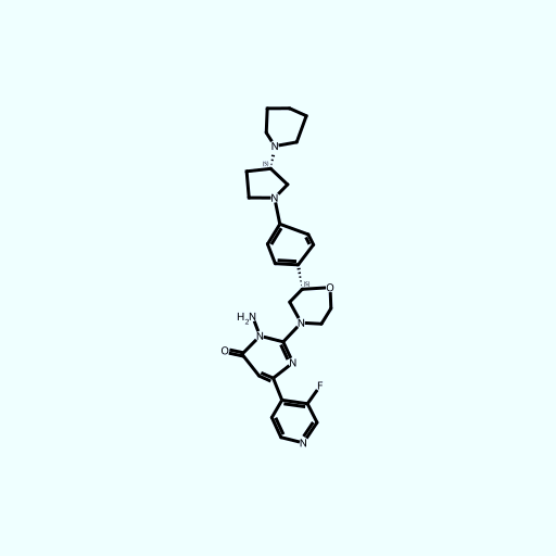 Nn1c(N2CCO[C@@H](c3ccc(N4CC[C@H](N5CCCCC5)C4)cc3)C2)nc(-c2ccncc2F)cc1=O